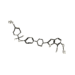 CCCC1CCC(C(F)(F)Oc2ccc(C3CCC(c4cc5ccc(OCC)c(F)c5s4)CC3)cc2)CC1